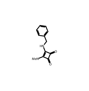 CNc1c(NCc2ccccc2)c(=O)c1=O